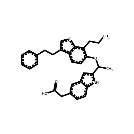 CCCc1c(OC(C)c2cc3cc(CC(=O)O)ccc3[nH]2)ccc2c(CCc3ccccc3)coc12